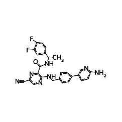 C[C@H](NC(=O)c1nc(C#N)cnc1NCc1ccc(-c2ccc(N)nc2)cc1)c1ccc(F)c(F)c1